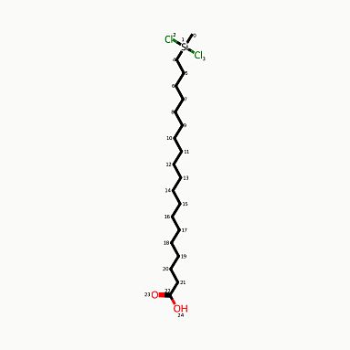 C[Si](Cl)(Cl)CCCCCCCCCCCCCCCCCCC(=O)O